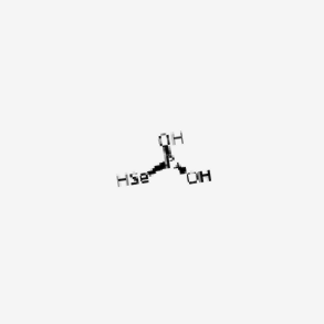 OP(O)[SeH]